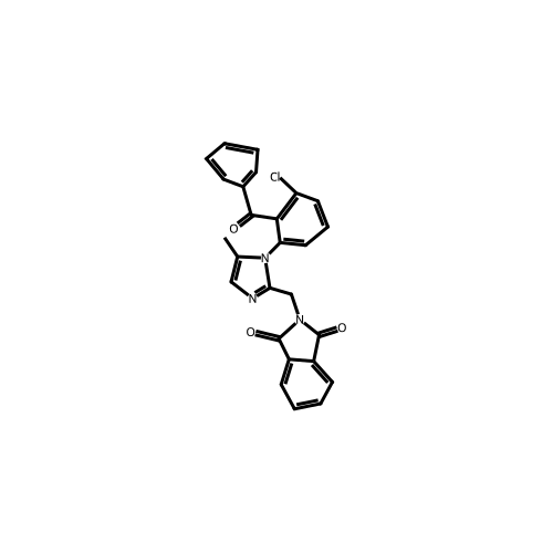 Cc1cnc(CN2C(=O)c3ccccc3C2=O)n1-c1cccc(Cl)c1C(=O)c1ccccc1